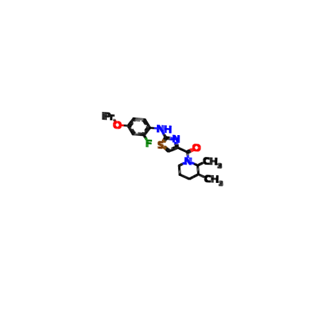 CC(C)Oc1ccc(Nc2nc(C(=O)N3CCCC(C)C3C)cs2)c(F)c1